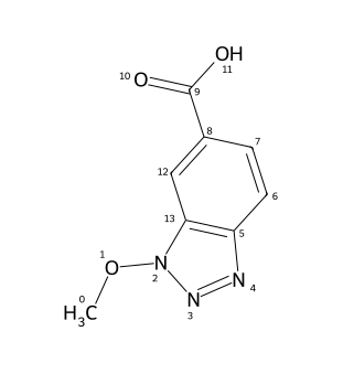 COn1nnc2ccc(C(=O)O)cc21